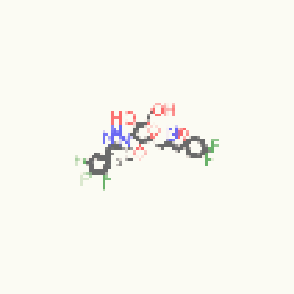 CO[C@@H]1[C@@H](n2cc(-c3cc(F)c(F)c(F)c3)nn2)[C@@H](O)[C@@H](CO)O[C@@H]1CC1=NOC2(CCC(F)(F)CC2)C1